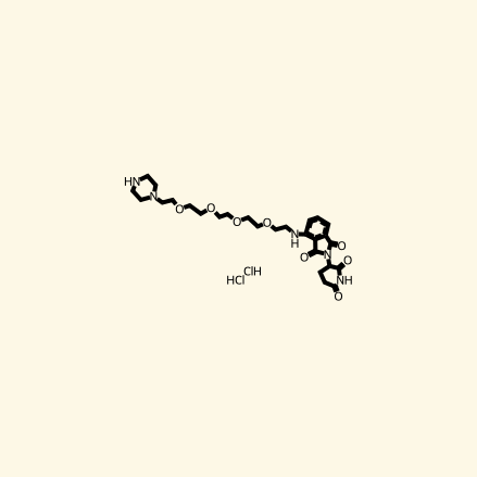 Cl.Cl.O=C1CCC(N2C(=O)c3cccc(NCCOCCOCCOCCOCCN4CCNCC4)c3C2=O)C(=O)N1